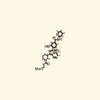 COCCC(=O)N1CCC[C@@H](C2=C3C=NC=C[N+]3(N)C(c3ccc(C(=O)Nc4ccccn4)cc3O)=N2)C1